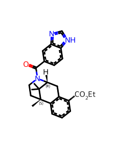 CCOC(=O)c1cccc2c1C[C@H]1N(C(=O)c3ccc4[nH]cnc4c3)CC[C@]2(C)C1(C)C